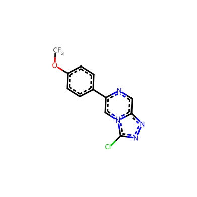 FC(F)(F)Oc1ccc(-c2cn3c(Cl)nnc3cn2)cc1